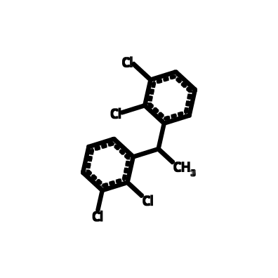 CC(c1cccc(Cl)c1Cl)c1cccc(Cl)c1Cl